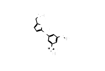 CC(C)Oc1cc(S(C)(=O)=O)cc(S(=O)(=O)c2ccc(CN)s2)c1